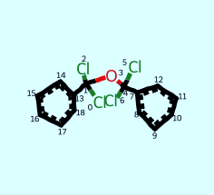 ClC(Cl)(OC(Cl)(Cl)c1ccccc1)c1ccccc1